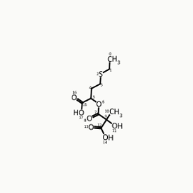 CCSCCC(OC(=O)C(C)(O)C(=O)O)C(=O)O